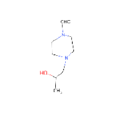 CC(O)CN1CCN(C=O)CC1